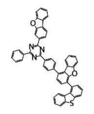 c1ccc(-c2nc(-c3ccc(-c4ccc(-c5cccc6sc7ccccc7c56)c5oc6ccccc6c45)cc3)nc(-c3ccc4c(c3)oc3ccccc34)n2)cc1